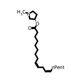 CCCCC/C=C\C/C=C\CCCCCCCC(=O)O[C@H]1CCN(C)C1